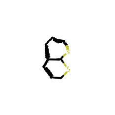 C1=CSC2SCC=CC2=C1